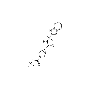 CC(C)(C)OC(=O)N1CC2C(C1)C2C(=O)NC(C)(C)c1cn2ccccc2n1